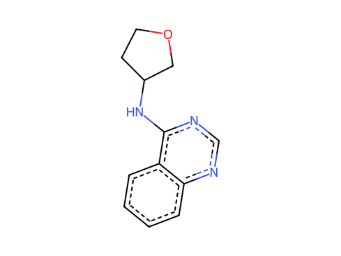 c1ccc2c(NC3CCOC3)ncnc2c1